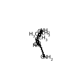 Cc1cc(N(C)C(N)=O)cc(C)c1CCON1CCC2(CC1)N=C(CCCCCCCCCC(N)=O)NC2=O